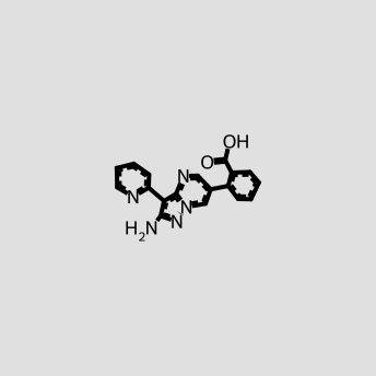 Nc1nn2cc(-c3ccccc3C(=O)O)cnc2c1-c1ccccn1